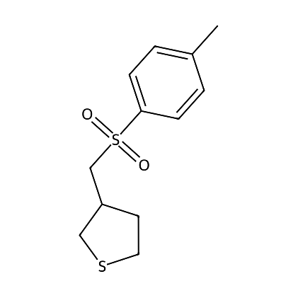 Cc1ccc(S(=O)(=O)CC2CCSC2)cc1